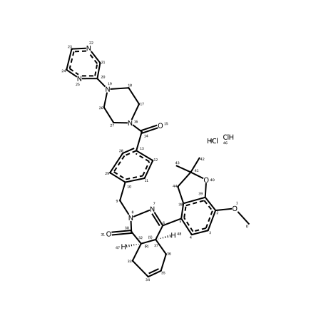 COc1ccc(C2=NN(Cc3ccc(C(=O)N4CCN(c5cnccn5)CC4)cc3)C(=O)[C@@H]3CC=CC[C@H]23)c2c1OC(C)(C)C2.Cl.Cl